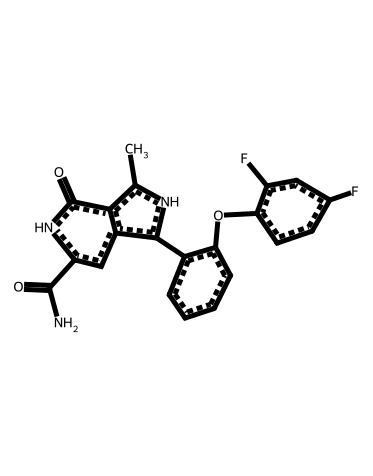 Cc1[nH]c(-c2ccccc2Oc2ccc(F)cc2F)c2cc(C(N)=O)[nH]c(=O)c12